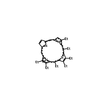 CCC1=C(CC)c2nc1c(CC)c1[nH]c(cc3nc(cc4c(CC)c(CC)c(c2CC)n4CC)C=C3)cc1CC